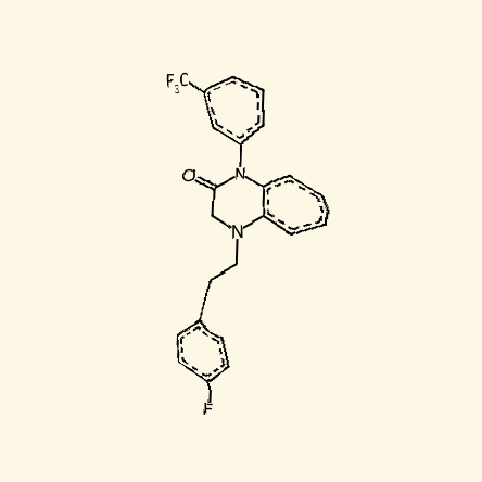 O=C1CN(CCc2ccc(F)cc2)c2ccccc2N1c1cccc(C(F)(F)F)c1